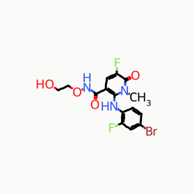 Cn1c(Nc2ccc(Br)cc2F)c(C(=O)NOCCO)cc(F)c1=O